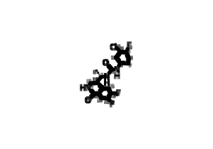 C[C@H](NC(=O)Nc1ccc(F)c(Cl)c1)c1c[nH]c(=O)c2cc(F)c(F)cc12